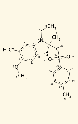 CCN1c2cc(C)c(OC)cc2SC1(C)OS(=O)(=O)c1ccc(C)cc1